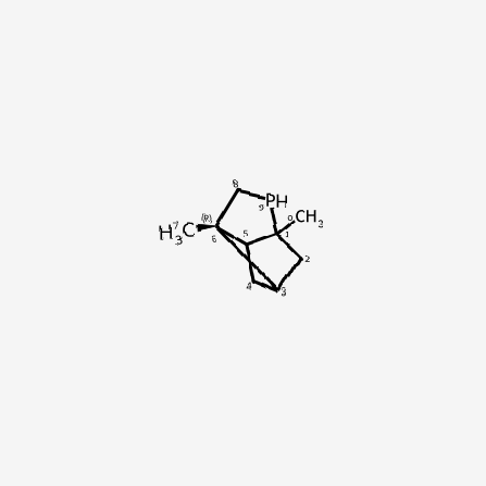 CC12CC3CC1[C@]3(C)CP2